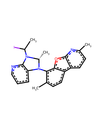 Cc1ccc2c(n1)oc1c(N3c4cccnc4N(C(C)I)[C@@H]3C)c(C)ccc12